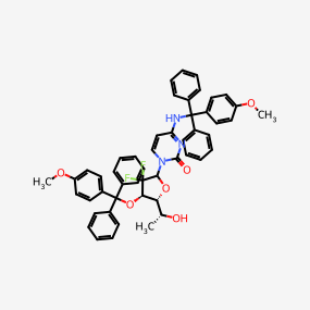 COc1ccc(C(Nc2ccn(C3O[C@H]([C@@H](C)O)[C@@H](OC(c4ccccc4)(c4ccccc4)c4ccc(OC)cc4)C3(F)F)c(=O)n2)(c2ccccc2)c2ccccc2)cc1